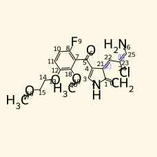 C=c1[nH]cc(C(=O)c2c(F)ccc(OCCOC)c2OC)/c1=C/C(Cl)=C\N